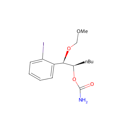 CCCC[C@@H](OC(N)=O)[C@H](OCOC)c1ccccc1I